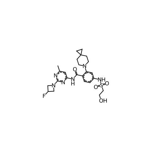 Cc1cc(NC(=O)c2ccc(NS(=O)(=O)CCO)cc2N2CCC3(CC2)CC3)nc(N2CC(F)C2)n1